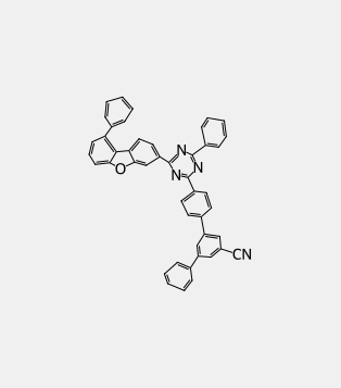 N#Cc1cc(-c2ccccc2)cc(-c2ccc(-c3nc(-c4ccccc4)nc(-c4ccc5c(c4)oc4cccc(-c6ccccc6)c45)n3)cc2)c1